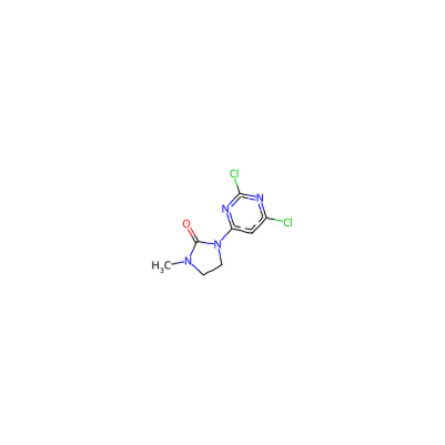 CN1CCN(c2cc(Cl)nc(Cl)n2)C1=O